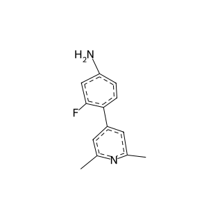 Cc1cc(-c2ccc(N)cc2F)cc(C)n1